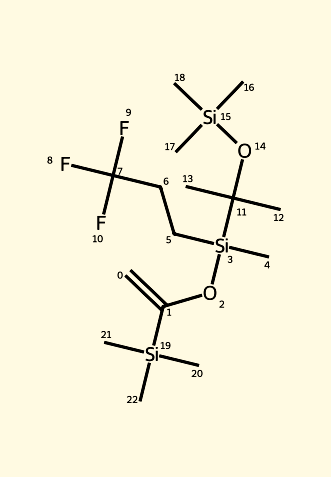 C=C(O[Si](C)(CCC(F)(F)F)C(C)(C)O[Si](C)(C)C)[Si](C)(C)C